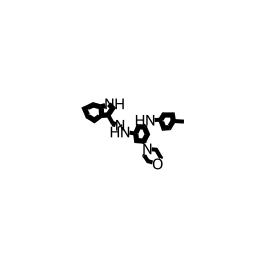 Cc1ccc(Nc2cc(NN=Cc3c[nH]c4ccccc34)cc(N3CCOCC3)c2)cc1